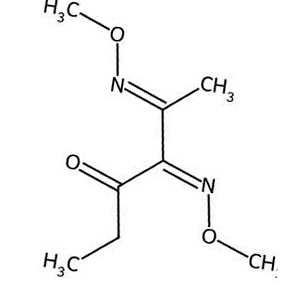 CCC(=O)C(=N\OC)/C(C)=N/OC